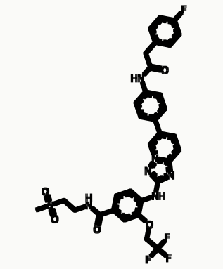 CS(=O)(=O)CCNC(=O)c1ccc(Nc2nc3ccc(-c4ccc(NC(=O)Cc5ccc(F)cc5)cc4)cn3n2)c(OCC(F)(F)F)c1